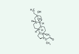 CC[C@@]1(O)CC[C@@]2(C)[C@H](CC[C@@H]3[C@@H]2CC[C@]2(C)[C@@H]([C@@H](C)C=O)CC[C@@H]32)C1